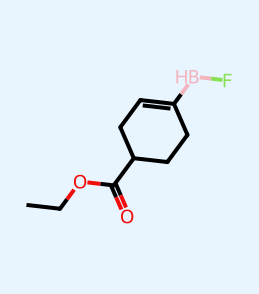 CCOC(=O)C1CC=C(BF)CC1